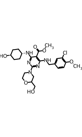 COC(=O)c1c(NCc2ccc(OC)c(Cl)c2)nc(N2CCOC(CO)C2)nc1N[C@H]1CC[C@H](O)CC1